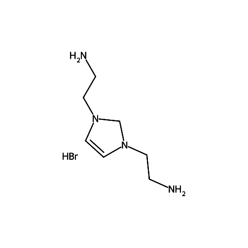 Br.NCCN1C=CN(CCN)C1